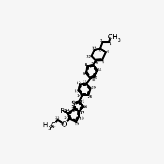 CCCC1CC=C(c2ccc(-c3ccc(-c4cc5ccc(OCC)c(F)c5s4)cc3)cc2)CC1